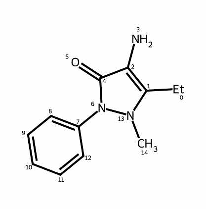 CCc1c(N)c(=O)n(-c2ccccc2)n1C